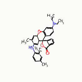 CCN(CC)c1ccc2c(c1)OC1C=C(C)C(Nc3ccc(C)cc3C)=CC1C21OC(=O)c2ccccc21